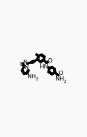 Cc1ccc(C(=O)Nc2ccc(C(N)=O)cc2)cc1C#Cc1nnc2ccc(N)cn12